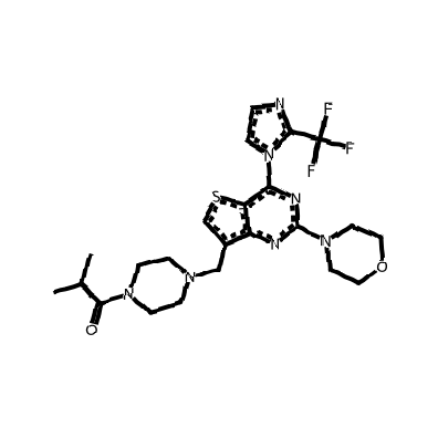 CC(C)C(=O)N1CCN(Cc2csc3c(-n4ccnc4C(F)(F)F)nc(N4CCOCC4)nc23)CC1